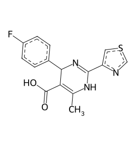 CC1=C(C(=O)O)C(c2ccc(F)cc2)N=C(c2cscn2)N1